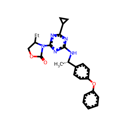 CCC1COC(=O)N1c1nc(N[C@@H](C)c2ccc(Oc3ccccc3)cc2)nc(C2CC2)n1